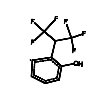 Oc1ccc[c]c1C(C(F)(F)F)C(F)(F)F